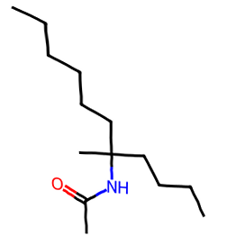 CCCCCCC(C)(CCCC)NC(C)=O